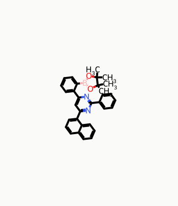 CC1(C)OB(c2ccccc2-c2cc(-c3cccc4ccccc34)nc(-c3ccccc3)n2)OC1(C)C